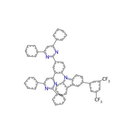 FC(F)(F)c1cc(-c2ccc3c(c2)c2ccccc2n3-c2ccc(-c3nc(-c4ccccc4)cc(-c4ccccc4)n3)cc2-c2cc(-c3ccccc3)nc(-c3ccccc3)n2)cc(C(F)(F)F)c1